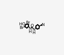 N#Cc1ccc(NC(=O)Nc2cc(Br)c(O)c(Br)c2)cc1